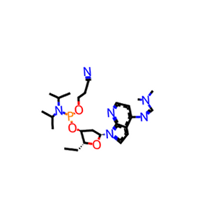 CC[C@H]1O[C@@H](n2ccc3c(/N=C\N(C)C)ccnc32)C[C@@H]1OP(OCCC#N)N(C(C)C)C(C)C